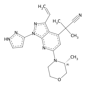 C=Cc1nn(-c2cc[nH]n2)c2nc(N3CCOC[C@H]3C)cc(C(C)(C)C#N)c12